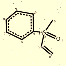 C=C[SH](C)(=O)c1ccccc1